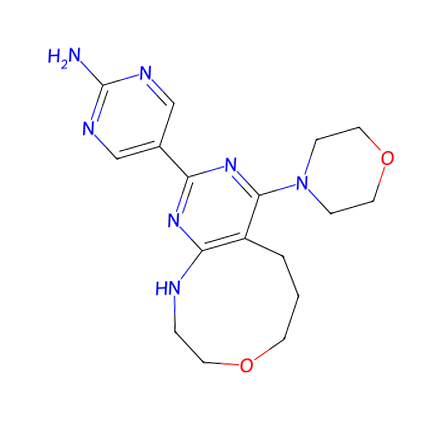 Nc1ncc(-c2nc3c(c(N4CCOCC4)n2)CCCOCCN3)cn1